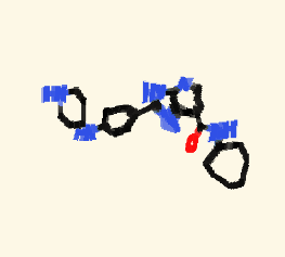 O=C(NC1CCCCCC1)c1ccnc2[nH]c(-c3ccc(NC4CCNCC4)cc3)nc12